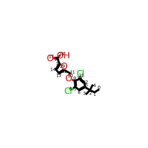 CCC(C)(C)c1cc(Cl)c(OCc2ccc(C(=O)O)o2)c(Cl)c1